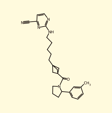 Cc1cccc(C2CCCN2C(=O)C23CC(CCCCCNc4nccc(C#N)n4)(C2)C3)c1